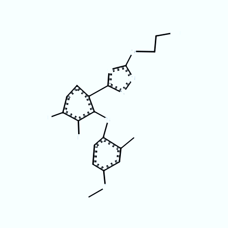 CSc1ccc(Nc2c(-c3nnc(NCCO)o3)ccc(F)c2F)c(F)c1